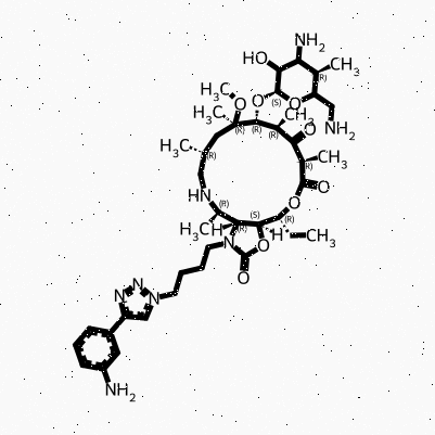 CC[C@H]1OC(=O)[C@H](C)C(=O)[C@H](C)[C@@H](O[C@@H]2OC(CN)[C@H](C)C(N)C2O)[C@](C)(OC)C[C@@H](C)CN[C@H](C)[C@@H]2[C@@H]1OC(=O)N2CCCCn1cc(-c2cccc(N)c2)nn1